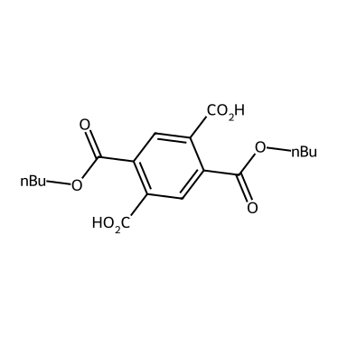 CCCCOC(=O)c1cc(C(=O)O)c(C(=O)OCCCC)cc1C(=O)O